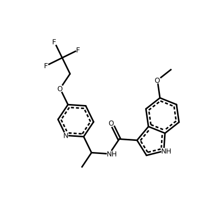 COc1ccc2[nH]cc(C(=O)NC(C)c3ccc(OCC(F)(F)F)cn3)c2c1